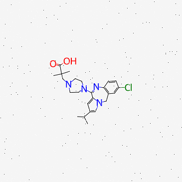 CC(C)c1cc2n(c1)Cc1cc(Cl)ccc1N=C2N1CCN(CC(C)(C)C(=O)O)CC1